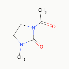 CC(=O)N1CCN(C)C1=O